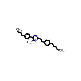 CCCCCC1CCC(CCc2ncc(-c3ccc(CCCC)cc3)c(C)n2)CC1